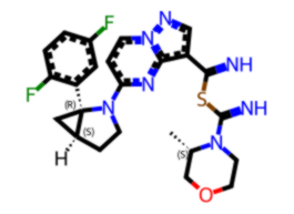 C[C@H]1COCCN1C(=N)SC(=N)c1cnn2ccc(N3CC[C@H]4C[C@]43c3cc(F)ccc3F)nc12